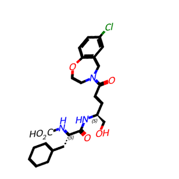 O=C(O)N[C@@H](CC1CCCCC1)C(=O)N[C@H](CO)CCC(=O)N1CCOc2ccc(Cl)cc2C1